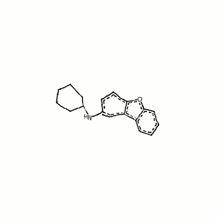 c1ccc2c(c1)oc1ccc(NC3CCCCC3)cc12